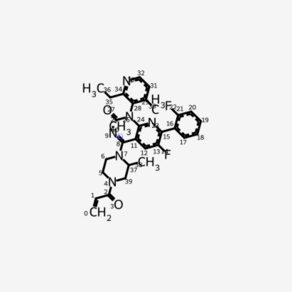 C=CC(=O)N1CCN(/C(=N/C)c2cc(F)c(-c3ccccc3F)nc2N(C=O)c2c(C)ccnc2CC)C(C)C1